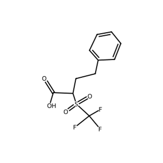 O=C(O)C(CCc1ccccc1)S(=O)(=O)C(F)(F)F